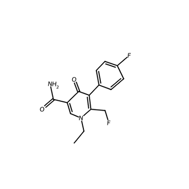 CCn1cc(C(N)=O)c(=O)c(-c2ccc(F)cc2)c1CF